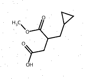 COC(=O)C(CC(=O)O)CC1CC1